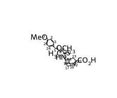 COc1ccc(COC(C)(C)C(=S)NC2C3CC4CC2CC(C(=O)O)(C4)C3)cc1